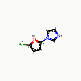 Brc1ccc(-n2ccnc2)o1